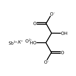 O=C([O-])C(O)C(O)C(=O)[O-].[K+].[O-2].[Sb+3]